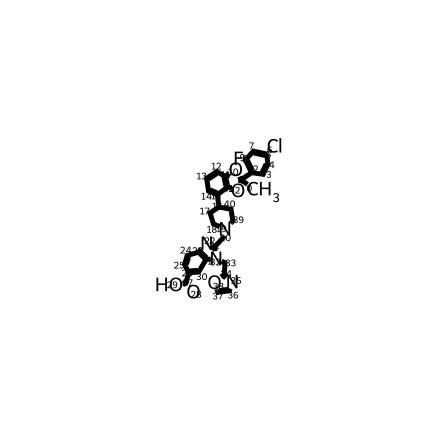 CC1(c2ccc(Cl)cc2F)Oc2cccc(C3CCN(Cc4nc5ccc(C(=O)O)cc5n4Cc4ncco4)CC3)c2O1